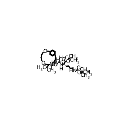 CC(C)[C@H]1COCCCCOc2ccc(cc2)C[C@@H](NC(=O)N[C@@H](CCCCNC(=O)OC(C)(C)C)C(=O)OC(C)(C)C)C(=O)N1